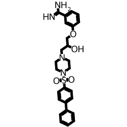 N=C(N)c1cccc(OCC(O)CN2CCN(S(=O)(=O)c3ccc(-c4ccccc4)cc3)CC2)c1